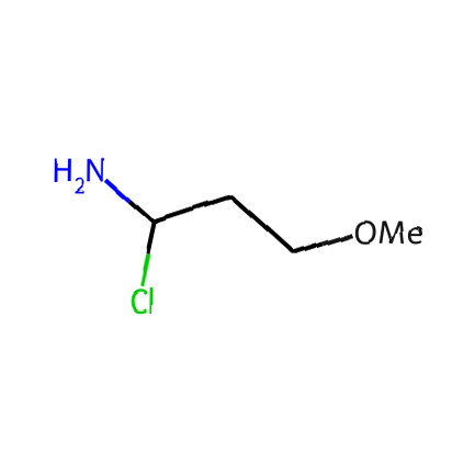 COCCC(N)Cl